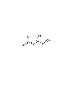 O=S(=O)=CC(O)CO